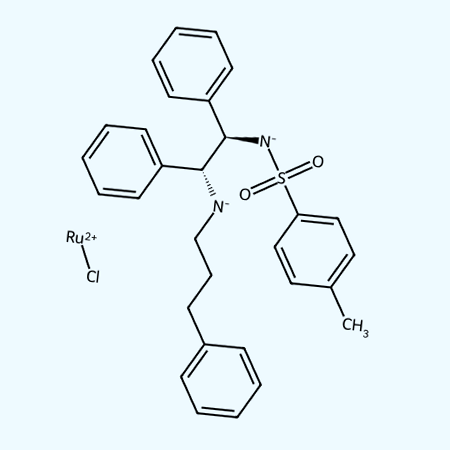 Cc1ccc(S(=O)(=O)[N-][C@H](c2ccccc2)[C@H]([N-]CCCc2ccccc2)c2ccccc2)cc1.[Cl][Ru+2]